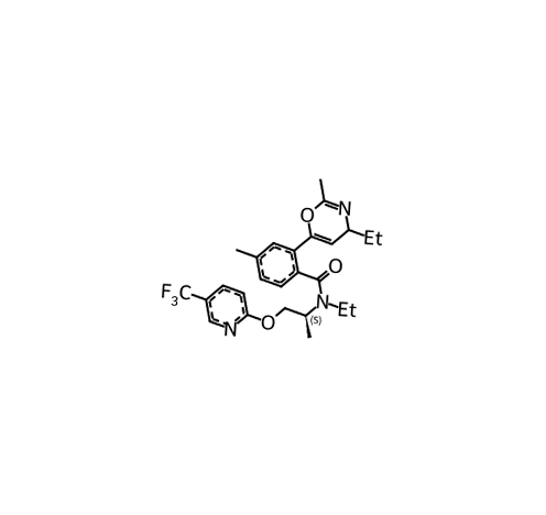 CCC1C=C(c2cc(C)ccc2C(=O)N(CC)[C@@H](C)COc2ccc(C(F)(F)F)cn2)OC(C)=N1